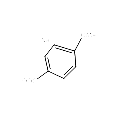 COc1ccc(C(=O)[O-])cc1.[Na+]